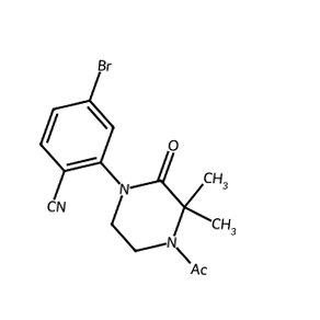 CC(=O)N1CCN(c2cc(Br)ccc2C#N)C(=O)C1(C)C